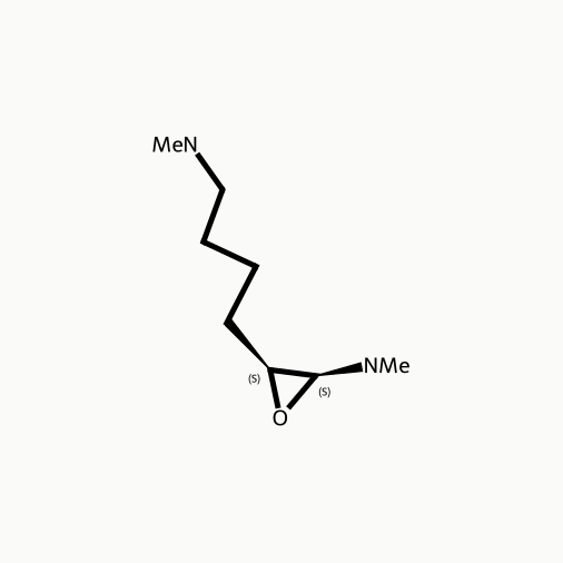 CNCCCC[C@@H]1O[C@@H]1NC